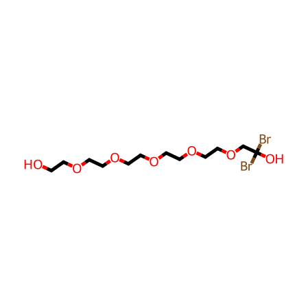 OCCOCCOCCOCCOCCOCC(O)(Br)Br